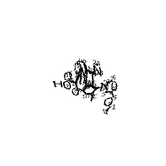 CCOCC1CN(c2c(F)cc3c(=O)c(C(=O)O)c4scc5c(=NC)c2c3n45)CCO1